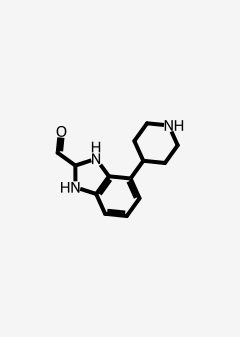 O=CC1Nc2cccc(C3CCNCC3)c2N1